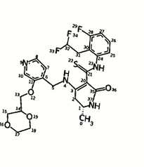 C[C@@H]1CC(NCc2ccncc2OCC2COCCO2)=C(C(=S)Nc2cccc(F)c2CC(F)F)C(=O)N1